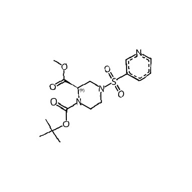 COC(=O)[C@H]1CN(S(=O)(=O)c2cccnc2)CCN1C(=O)OC(C)(C)C